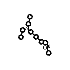 c1ccc(-c2ccc(N(c3ccc(-c4ccc(-c5ccc6c(ccc7nc(-c8ccccc8)oc76)c5)cc4)cc3)c3cccc(-c4ccccc4)c3)cc2)cc1